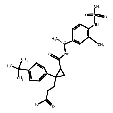 Cc1cc([C@@H](C)NC(=O)C2CC2(CCC(=O)O)c2ccc(C(C)(C)C)cc2)ccc1NS(C)(=O)=O